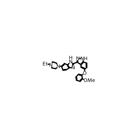 CCN1CCN(c2ccc3nc(-c4n[nH]c5ccc(Oc6ccccc6OC)cc45)[nH]c3c2)CC1